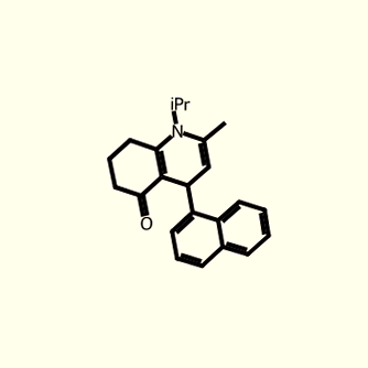 CC1=CC(c2cccc3ccccc23)C2=C(CCCC2=O)N1C(C)C